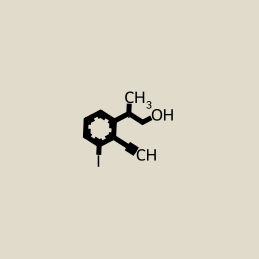 C#Cc1c(I)cccc1[C](C)CO